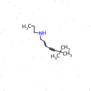 CCCNC/C=C/C#CC(C)(C)C